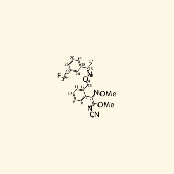 CON=C(C(=NC#N)OC)c1ccccc1CON=C(C)c1cccc(C(F)(F)F)c1